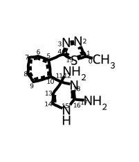 Cc1nnc(-c2ccccc2C2(N)C=CNC(N)=N2)s1